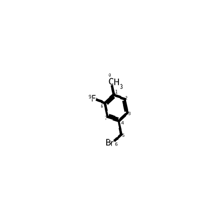 Cc1ccc(CBr)cc1F